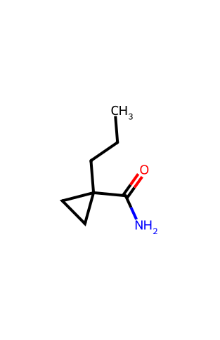 CCCC1(C(N)=O)CC1